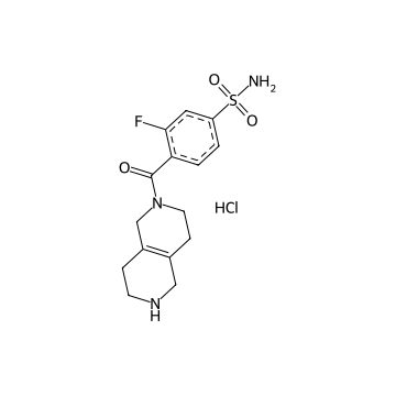 Cl.NS(=O)(=O)c1ccc(C(=O)N2CCC3=C(CCNC3)C2)c(F)c1